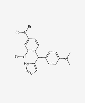 CCOc1cc(N(CC)CC)ccc1C(c1ccc(N(C)C)cc1)c1ccc[nH]1